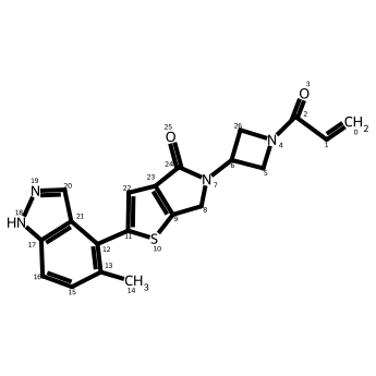 C=CC(=O)N1CC(N2Cc3sc(-c4c(C)ccc5[nH]ncc45)cc3C2=O)C1